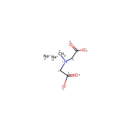 CN(CC(=O)[O-])CC(=O)[O-].[Na+].[Na+]